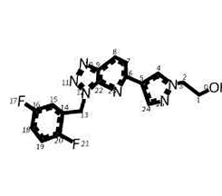 OCCn1cc(-c2ccc3nnn(Cc4cc(F)ccc4F)c3n2)cn1